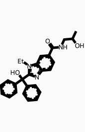 CCn1c(C(O)(c2ccccc2)c2ccccc2)nc2ccc(C(=O)NCC(C)O)cc21